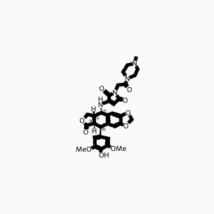 COc1cc([C@@H]2c3cc4c(cc3[C@@H](NC3=CC(=O)N(CC(=O)N5CCN(C)CC5)C3=O)[C@H]3COC(=O)[C@H]23)OCO4)cc(OC)c1O